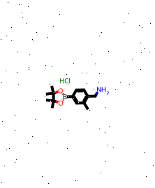 Cc1cc(B2OC(C)(C)C(C)(C)O2)ccc1CN.Cl